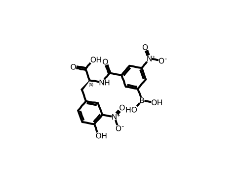 O=C(N[C@@H](Cc1ccc(O)c([N+](=O)[O-])c1)C(=O)O)c1cc(B(O)O)cc([N+](=O)[O-])c1